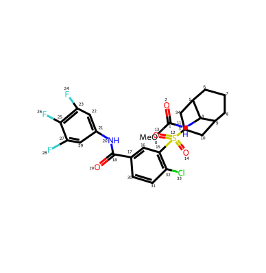 COC(=O)NC1C2CCCC1CC(S(=O)(=O)c1cc(C(=O)Nc3cc(F)c(F)c(F)c3)ccc1Cl)C2